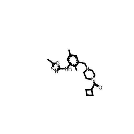 Cc1cc(CN2CCN(C(=O)C3CCC3)CC2)c(C)c(Nc2nnc(C)o2)c1